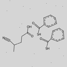 CC(C#N)CCC(=O)O.O=C(S)c1ccccc1.O=C(S)c1ccccc1